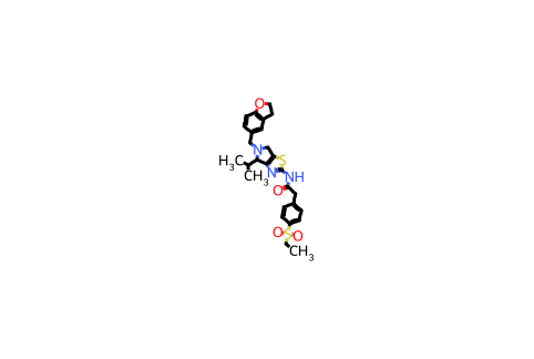 CCS(=O)(=O)c1ccc(CC(=O)Nc2nc3c(s2)CN(Cc2ccc4c(c2)CCO4)C3C(C)C)cc1